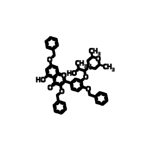 CC(O)C(Oc1cc(-c2oc3cc(OCc4ccccc4)cc(O)c3c(=O)c2OCc2ccccc2)ccc1OCc1ccccc1)N1C[C@@H](C)O[C@@H](C)C1